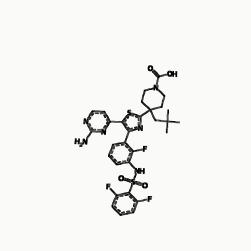 CC(C)(C)CC1(c2nc(-c3cccc(NS(=O)(=O)c4c(F)cccc4F)c3F)c(-c3ccnc(N)n3)s2)CCN(C(=O)O)CC1